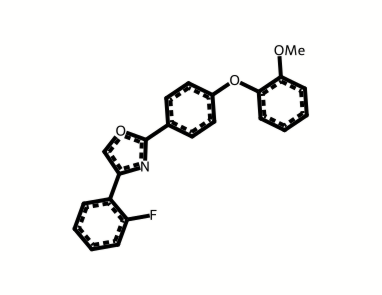 COc1ccccc1Oc1ccc(-c2nc(-c3ccccc3F)co2)cc1